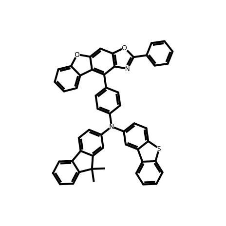 CC1(C)c2ccccc2-c2ccc(N(c3ccc(-c4c5nc(-c6ccccc6)oc5cc5oc6ccccc6c45)cc3)c3ccc4sc5ccccc5c4c3)cc21